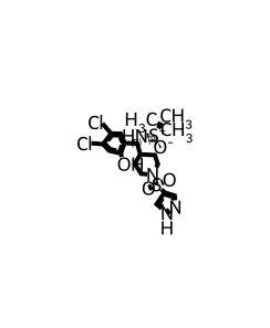 CC(C)(C)[S@+]([O-])N[C@@H](c1cc(Cl)c(Cl)cc1O)C1CCN(S(=O)(=O)c2cn[nH]c2)CC1